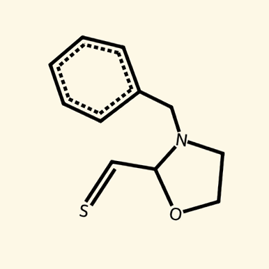 S=CC1OCCN1Cc1ccccc1